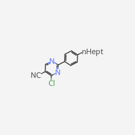 CCCCCCCc1ccc(-c2ncc(C#N)c(Cl)n2)cc1